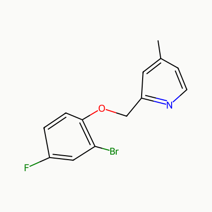 Cc1ccnc(COc2ccc(F)cc2Br)c1